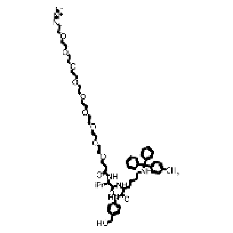 Cc1ccc(C(NCCCCC(NC(=O)C(NC(=O)CCOCCOCCOCCOCCOCCOCCOCCOCCOCCN=[N+]=[N-])C(C)C)C(=O)Nc2ccc(CO)cc2)(c2ccccc2)c2ccccc2)cc1